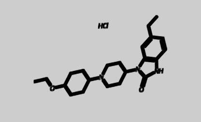 CCOC1CCC(N2CCC(n3c(=O)[nH]c4ccc(CC)cc43)CC2)CC1.Cl